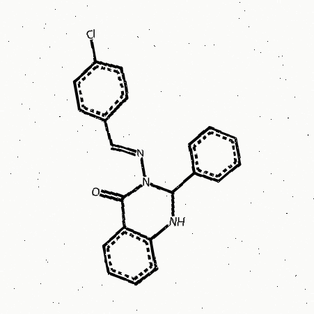 O=C1c2ccccc2NC(c2ccccc2)N1N=Cc1ccc(Cl)cc1